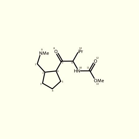 CNCC1CCCC1C(=O)C(NC(=O)OC)C(C)C